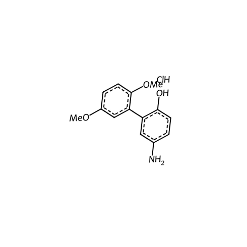 COc1ccc(OC)c(-c2cc(N)ccc2O)c1.Cl